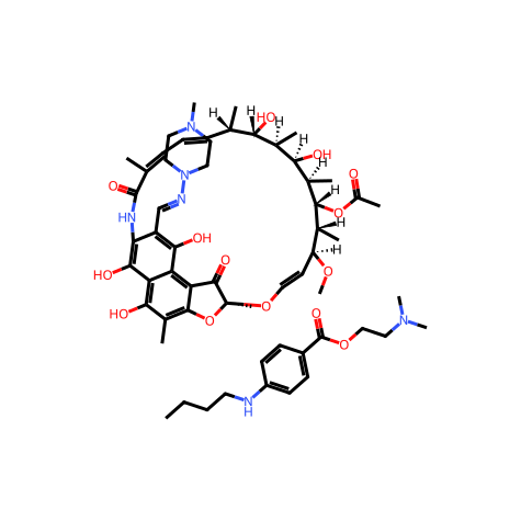 CCCCNc1ccc(C(=O)OCCN(C)C)cc1.CO[C@H]1/C=C/O[C@@]2(C)Oc3c(C)c(O)c4c(O)c(c(/C=N/N5CCN(C)CC5)c(O)c4c3C2=O)NC(=O)/C(C)=C\C=C\[C@H](C)[C@H](O)[C@@H](C)[C@@H](O)[C@@H](C)[C@H](OC(C)=O)[C@@H]1C